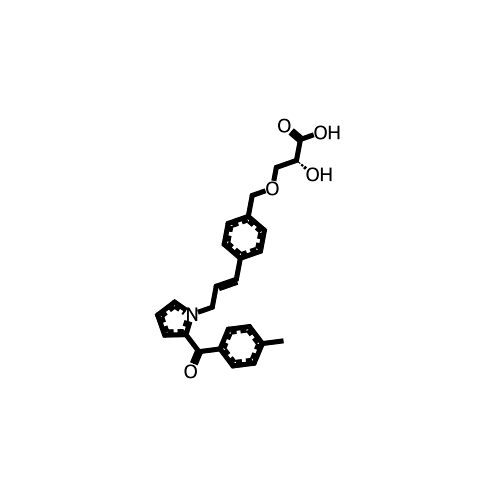 Cc1ccc(C(=O)c2cccn2C/C=C/c2ccc(COC[C@@H](O)C(=O)O)cc2)cc1